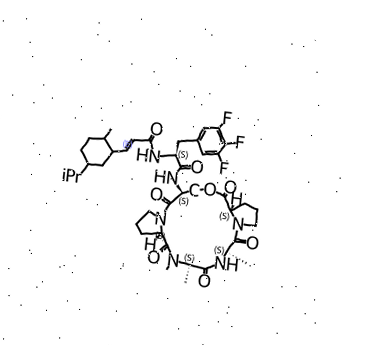 CC(C)C1CCC(C)C(/C=C/C(=O)N[C@@H](Cc2cc(F)c(F)c(F)c2)C(=O)N[C@H]2COC(=O)[C@@H]3CCCN3C(=O)[C@H](C)NC(=O)[C@H](C)N(C)C(=O)[C@@H]3CCCN3C2=O)C1